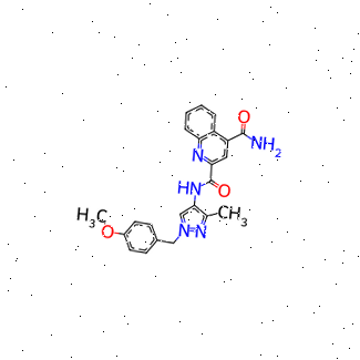 COc1ccc(Cn2cc(NC(=O)c3cc(C(N)=O)c4ccccc4n3)c(C)n2)cc1